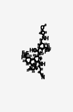 CO[C@H]1C[C@@H](NCc2cc3c(c(C(F)(F)F)c2)CN(c2cc(-c4cc(C(F)(F)F)ccc4-c4nncn4C)cc(NCCCC#N)n2)C3O)C1